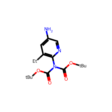 CCc1cc(N)cnc1N(C(=O)OC(C)(C)C)C(=O)OC(C)(C)C